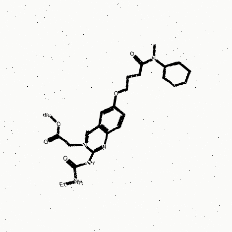 CCNC(=O)NC1=Nc2ccc(OCCCC(=O)N(C)C3CCCCC3)cc2CN1CC(=O)OC(C)(C)C